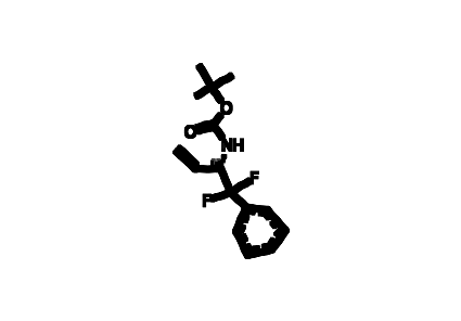 C=C[C@H](NC(=O)OC(C)(C)C)C(F)(F)c1ccccc1